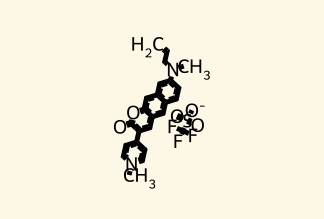 C=CCN(C)c1ccc2cc3cc(-c4cc[n+](C)cc4)c(=O)oc3cc2c1.O=S(=O)([O-])C(F)(F)F